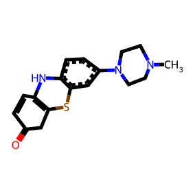 CN1CCN(c2ccc3c(c2)SC2=C(C=CC(=O)C2)N3)CC1